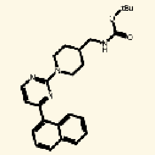 CC(C)(C)OC(=O)NCC1CCN(c2nccc(-c3cccc4ccccc34)n2)CC1